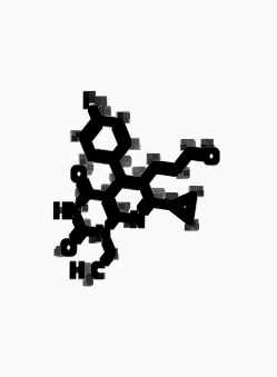 CCn1c(=O)[nH]c(=O)c2c(-c3ccc(F)cc3)c(C=CC=O)c(C3CC3)nc21